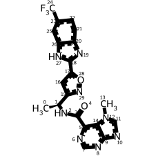 C[C@H](NC(=O)c1ncnc2ncn(C)c12)c1cc(-c2nc3ccc(C(F)(F)F)cc3[nH]2)on1